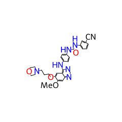 COc1cc2ncnc(Nc3ccc(NC(=O)Nc4cccc(C#N)c4)cc3)c2cc1OCCCN1CCOCC1